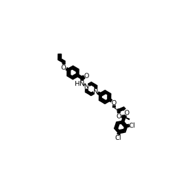 C=CCOc1ccc(C(=O)NN2CCN(c3ccc(OC[C@@H]4CO[C@](C)(c5ccc(Cl)cc5Cl)O4)cc3)CC2)cc1